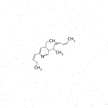 C/C=C\C=C/C(C)C1C=NC(/C=C\CC)=CC1CC